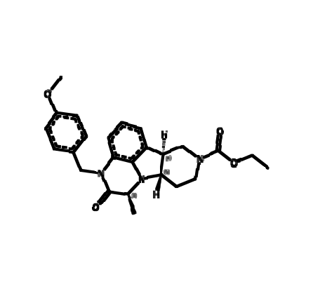 CCOC(=O)N1CC[C@H]2[C@H](C1)c1cccc3c1N2[C@@H](C)C(=O)N3Cc1ccc(OC)cc1